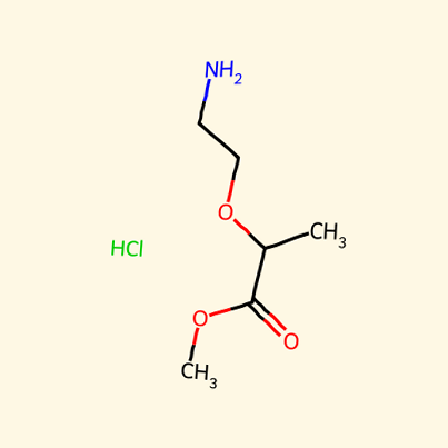 COC(=O)C(C)OCCN.Cl